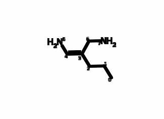 CCC/C(=C/N)CN